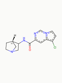 O=C(NC1CN2CC[C@H]1C2)c1cc2c(Cl)ccn2cn1